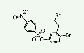 O=[N+]([O-])c1ccc(S(=O)(=O)Oc2ccc(Br)c(CCBr)c2)cc1